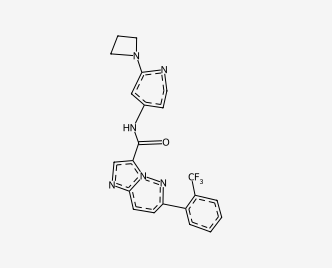 O=C(Nc1ccnc(N2CCC2)c1)c1cnc2ccc(-c3ccccc3C(F)(F)F)nn12